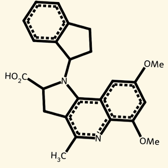 COc1cc(OC)c2nc(C)c3c(c2c1)N(C1CCc2ccccc21)C(C(=O)O)C3